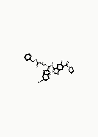 O=C(NCC[C@H](Nc1ncnc2cc(C(=O)N3CC=CC3)c(Cl)cc12)c1nc2cc(Cl)ccc2[nH]1)OCc1ccccc1